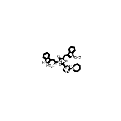 CC(C)C[C@H](NC(=O)N1CCCCCC1)C(=O)NC(Cc1cn(C=O)c2ccccc12)C(=O)N[C@H](Cc1c[nH]c2ccccc12)C(=O)O